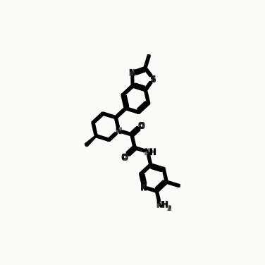 Cc1nc2cc(C3CC[C@H](C)CN3C(=O)C(=O)Nc3cnc(N)c(C)c3)ccc2s1